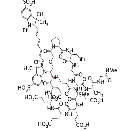 CC[N+]1=C(/C=C/C=C/C=C/C=C2/N(CCCCCC(=O)N[C@H](CCC(=O)O)C(=O)N[C@H](CCC(=O)O)C(=O)N[C@H](CCC(=O)O)C(=O)N[C@H](CCC(=O)O)C(=O)N[C@H](CCC(=O)O)C(=O)NCCOCC(=O)N3CCC[C@H]3C(=O)N[C@@H](CC(C)C)C(=O)NCC(=O)N[C@@H](CSC)C(=O)N[C@@H](C)C(=O)NCC(=O)NC)c3ccc(S(=O)(=O)O)cc3C2(C)C)C(C)(C)c2cc(S(=O)(=O)O)ccc21